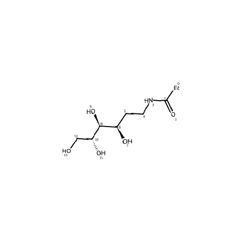 CCC(=O)NCC[C@@H](O)[C@H](O)[C@H](O)CO